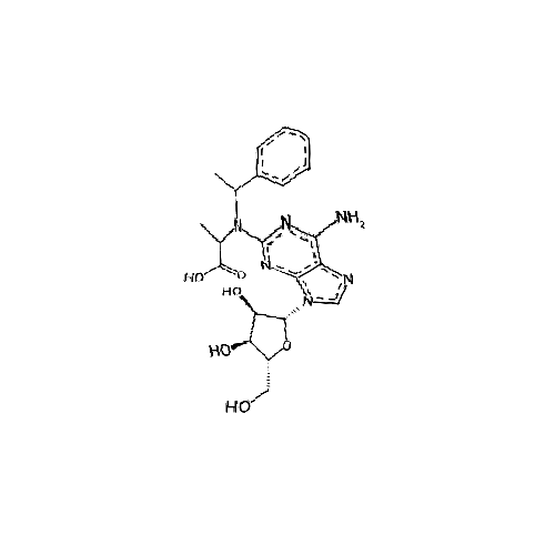 CC(C(=O)O)N(c1nc(N)c2ncn([C@@H]3O[C@H](CO)[C@@H](O)[C@H]3O)c2n1)C(C)c1ccccc1